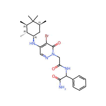 C[C@@H]1[C@@H](C)C(C)(C)[C@@H](C)C[C@H]1Nc1cnn(CC(=O)NC(C(N)=O)c2ccccc2)c(=O)c1Br